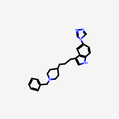 c1ccc(CN2CCC(CCCc3c[nH]c4ccc(-n5cnnc5)cc34)CC2)cc1